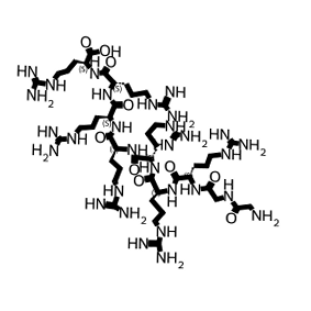 N=C(N)NCCC[C@H](NC(=O)[C@H](CCCNC(=N)N)NC(=O)[C@H](CCCNC(=N)N)NC(=O)[C@H](CCCNC(=N)N)NC(=O)[C@H](CCCNC(=N)N)NC(=O)[C@H](CCCNC(=N)N)NC(=O)[C@H](CCCNC(=N)N)NC(=O)CNC(=O)CN)C(=O)O